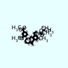 COC(=O)c1ccc([C@@H]2CCCCN2Cc2c(C3CC3)cc(C)c3c2ccn3C(=O)OC(C)(C)C)c(OC)c1